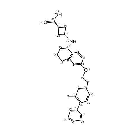 Cc1cc(CCOc2ccc3c(c2)CCC[C@@H]3N[C@H]2C[C@H](C(=O)O)C2)ccc1-c1ccccc1